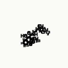 CC[N+](C)(CC)CCCNC(=O)C1=C(O)c2ccccc2S(=O)(=O)N1C.[I-]